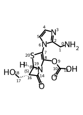 NCc1nccn1C1=C(OC(=O)O)N2C(=O)[C@H](CO)[C@H]2S1